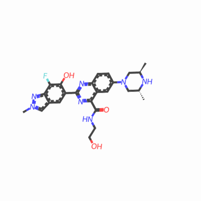 C[C@@H]1CN(c2ccc3nc(-c4cc5cn(C)nc5c(F)c4O)nc(C(=O)NCCO)c3c2)C[C@@H](C)N1